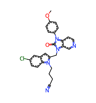 COc1ccc(-n2c(=O)n(Cc3cc4cc(Cl)ccc4n3CCCC#N)c3cnccc32)cc1